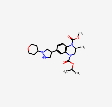 COC(=O)N1c2ccc(C3CNN(C4CCOCC4)C3)cc2N(C(=O)OC(C)C)C[C@@H]1C